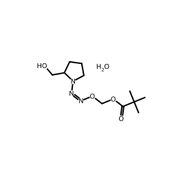 CC(C)(C)C(=O)OCO/N=N\N1CCCC1CO.O